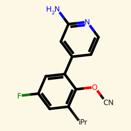 CC(C)c1cc(F)cc(-c2ccnc(N)c2)c1OC#N